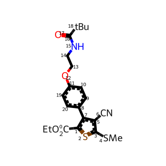 CCOC(=O)c1sc(SC)c(C#N)c1-c1ccc(OCCNC(=O)C(C)(C)C)cc1